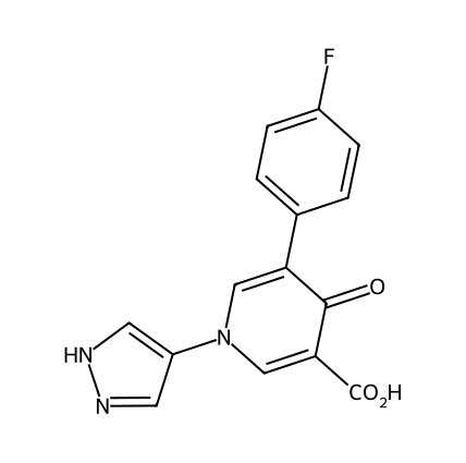 O=C(O)c1cn(-c2cn[nH]c2)cc(-c2ccc(F)cc2)c1=O